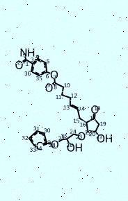 NC(=O)c1ccc(OC(=O)CCC/C=C/C[C@H]2C(=O)C[C@@H](O)[C@@H]2OCC(O)COc2ccccc2)cc1